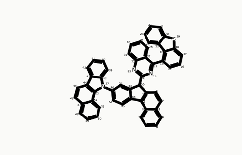 c1ccc2c3c(ccc2c1)C(c1nc(-c2cccc4sc5ccccc5c24)c2ccccc2n1)c1cc(-n2c4ccccc4c4ccc5ccccc5c42)ccc1-3